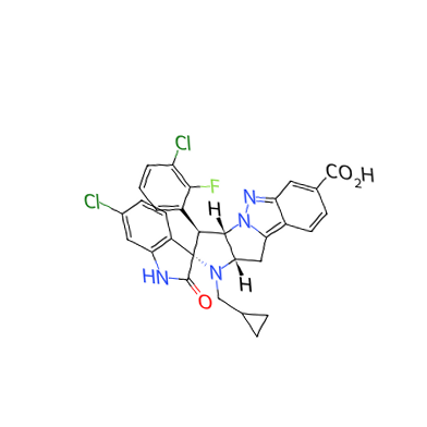 O=C(O)c1ccc2c3n(nc2c1)[C@@H]1[C@H](C3)N(CC2CC2)[C@@]2(C(=O)Nc3cc(Cl)ccc32)[C@H]1c1cccc(Cl)c1F